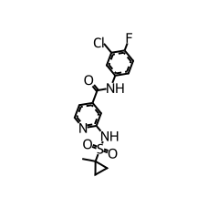 CC1(S(=O)(=O)Nc2cc(C(=O)Nc3ccc(F)c(Cl)c3)ccn2)CC1